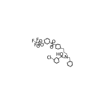 O=S(=O)(c1ccc(CCCN(Cc2ccccc2)C[C@@H](O)c2cccc(Cl)c2)cc1)c1cccc(OS(=O)(=O)C(F)(F)F)c1